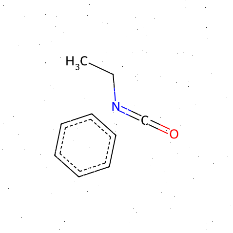 CCN=C=O.c1ccccc1